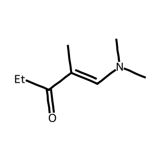 CCC(=O)/C(C)=C/N(C)C